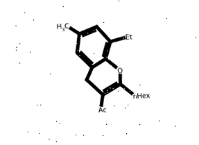 CCCCCCC1=C(C(C)=O)Cc2cc(C)cc(CC)c2O1